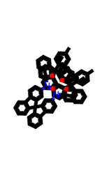 C=Cc1ccc(C2(c3ccc(C)cc3)c3ccccc3-c3ccc(N(c4ccccc4)c4ccc5c(c4)C4(c6ccccc6-5)c5ccccc5-c5ccc(N(c6ccccc6)c6ccc7c(c6)C(c6ccc(C)cc6)(c6ccc(C=C)cc6)c6ccccc6-7)cc54)cc32)cc1